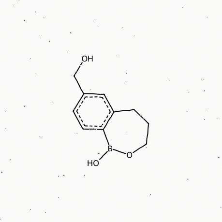 OCc1ccc2c(c1)CCCOB2O